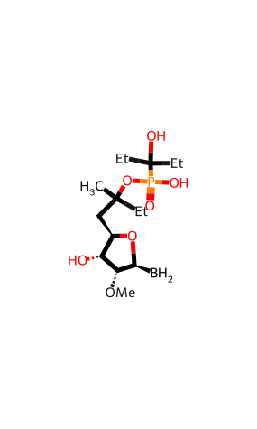 B[C@@H]1O[C@H](CC(C)(CC)OP(=O)(O)C(O)(CC)CC)[C@@H](O)[C@H]1OC